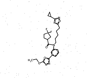 CCOc1nnc(-c2cccc(N(CCCCCc3nc(C4CC4)no3)C(=O)C3CCC(F)(F)C3)c2)o1